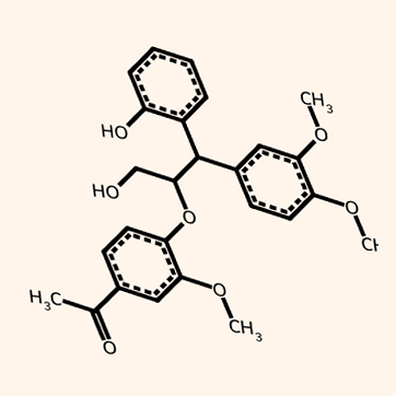 COc1ccc(C(c2ccccc2O)C(CO)Oc2ccc(C(C)=O)cc2OC)cc1OC